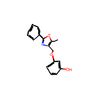 Cc1oc(-c2ccccc2)nc1COc1cc[c]c(O)c1